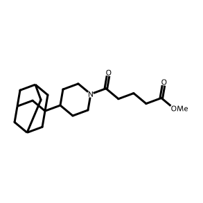 COC(=O)CCCC(=O)N1CCC(C23CC4CC(CC(C4)C2)C3)CC1